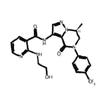 C[C@H]1CN(c2ccc(C(F)(F)F)cc2)C(=O)c2c(NC(=O)c3cccnc3NCCO)cnn21